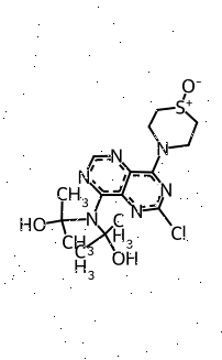 CC(C)(O)N(c1ncnc2c(N3CC[S+]([O-])CC3)nc(Cl)nc12)C(C)(C)O